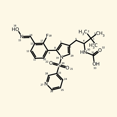 CC(C)(C)C(Cc1cc(-c2cccc(C=NO)c2F)n(S(=O)(=O)c2cccnc2)c1)NC(=O)O